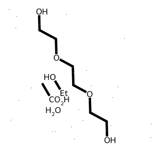 CC(=O)O.CCO.O.OCCOCCOCCO